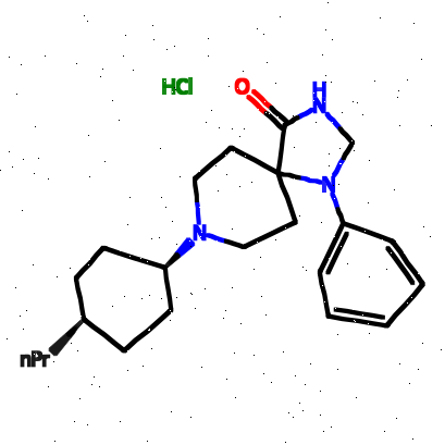 CCC[C@H]1CC[C@@H](N2CCC3(CC2)C(=O)NCN3c2ccccc2)CC1.Cl